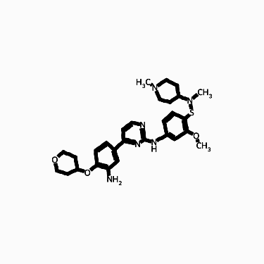 COc1cc(Nc2nccc(-c3ccc(OC4CCOCC4)c(N)c3)n2)ccc1SN(C)C1CCN(C)CC1